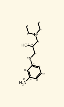 CCN(CC)CC(O)CSc1cccc(N)c1